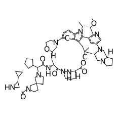 CCn1c(-c2cc(N3CCN4CCC[C@@H]4C3)cnc2[C@H](C)OC)c2c3cc(ccc31)N1CCO[C@@H](C[C@H](NC(=O)C(C3CCCC3)N3CC[C@]4(CCN(C(=O)[C@@H]5NC5C5CC5)C4)C3)C(=O)N3CCC[C@H](N3)C(=O)OCC(C)(C)C2)C1